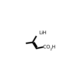 CC(C)=CC(=O)O.[LiH]